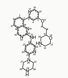 c1cc(-c2cc(OCCC3CNCCO3)ccn2)c2nc(Nc3ccc(N4CCNCC4)nc3)ncc2c1